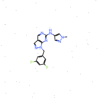 Cn1cc(Nc2ncc3cnn(Cc4cc(F)cc(F)c4)c3n2)cn1